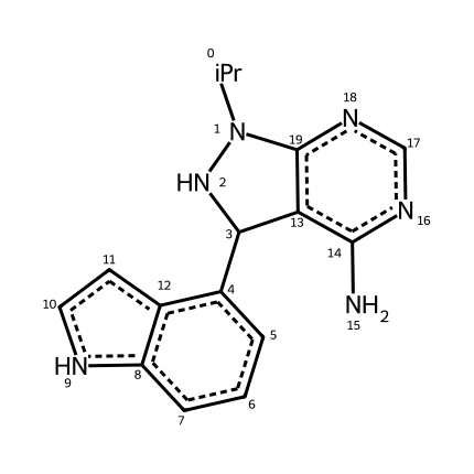 CC(C)N1NC(c2cccc3[nH]ccc23)c2c(N)ncnc21